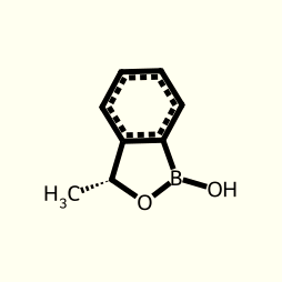 C[C@H]1OB(O)c2ccccc21